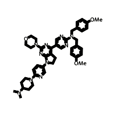 COc1ccc(CN(Cc2ccc(OC)cc2)c2ncc(-c3nc(N4CCOCC4)nc4c3CCN4c3ccc(N4CCC(N(C)C)CC4)nc3)cn2)cc1